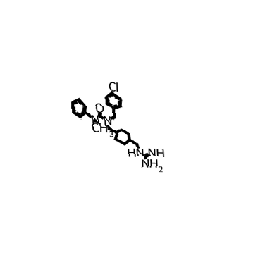 CN(C(=O)N(Cc1ccc(Cl)cc1)CC1CCC(CNC(=N)N)CC1)c1ccccc1